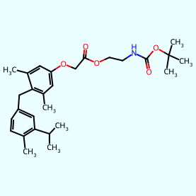 Cc1ccc(Cc2c(C)cc(OCC(=O)OCCNC(=O)OC(C)(C)C)cc2C)cc1C(C)C